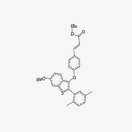 COc1ccc2c(Oc3ccc(C=CC(=O)OC(C)(C)C)cc3)c(-c3cc(C)ccc3C)sc2c1